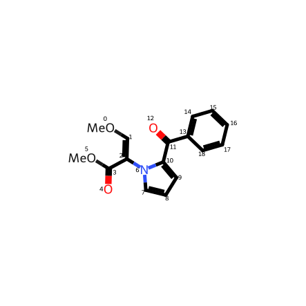 COC=C(C(=O)OC)n1cccc1C(=O)c1ccccc1